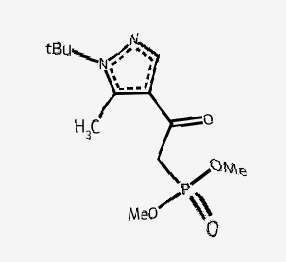 COP(=O)(CC(=O)c1cnn(C(C)(C)C)c1C)OC